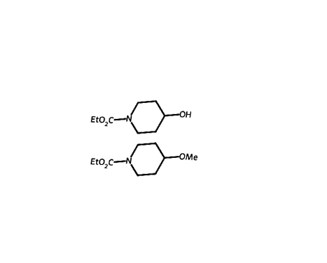 CCOC(=O)N1CCC(O)CC1.CCOC(=O)N1CCC(OC)CC1